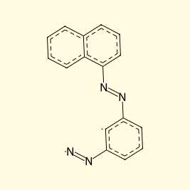 [N]=Nc1[c]c(N=Nc2cccc3ccccc23)ccc1